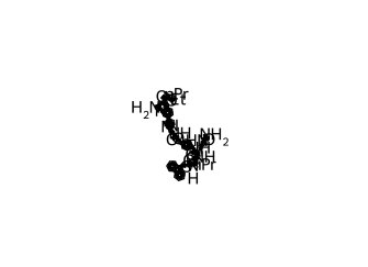 CCCN(OCC)C(=O)C1=Cc2ccc(-c3cnc(CNC(=O)OCc4ccc(NC(=O)[C@H](CCCNC(N)=O)NC(=O)[C@@H](NC(=O)OCC5c6ccccc6-c6ccccc65)C(C)C)cc4)nc3)cc2N=C(N)C1